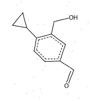 O=Cc1ccc(C2CC2)c(CO)c1